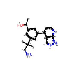 CC(O)c1cc(-c2ccnc3[nH]ncc23)cc(C(C)(C)CN)c1